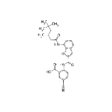 CC(CC(=O)Nc1cccc2cc(C(=O)Nc3ccc(C#N)cc3C(=O)O)[nH]c12)CC(C)(C)C